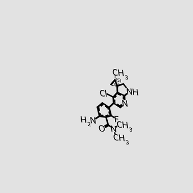 C[C@H]1C[C@@]12CNc1ncc(-c3ccc(N)c(C(=O)N(C)C)c3F)c(Cl)c12